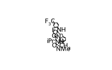 CN[C@@H](C)C(=O)NC(C(=O)N1c2ncccc2CC1C(=O)Nc1ccc(C(F)(F)F)cc1F)C(C)C